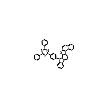 c1ccc(-c2nc(-c3ccccc3)nc(-c3ccc(-n4c5ccccc5c5ccc6c(sc7ccc8ccccc8c76)c54)cc3)n2)cc1